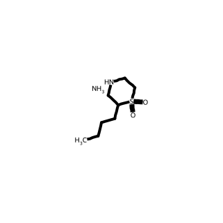 CCCCC1CNCCS1(=O)=O.N